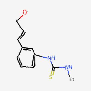 CCNC(=S)Nc1cccc(C=CC[O])c1